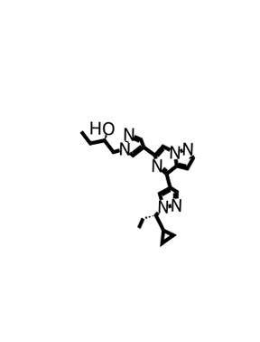 CC[C@H](O)Cn1cc(-c2cn3nccc3c(-c3cnn([C@@H](CC)C4CC4)c3)n2)cn1